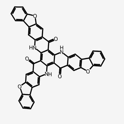 O=c1c2cc3oc4ccccc4c3cc2[nH]c2c1c1[nH]c3cc4c(cc3c(=O)c1c1[nH]c3cc5c(cc3c(=O)c21)oc1ccccc15)oc1ccccc14